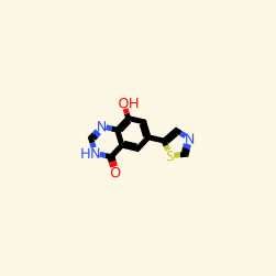 O=c1[nH]cnc2c(O)cc(-c3cncs3)cc12